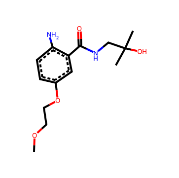 COCCOc1ccc(N)c(C(=O)NCC(C)(C)O)c1